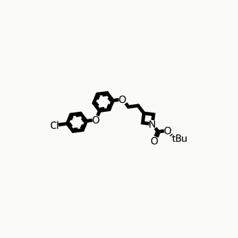 CC(C)(C)OC(=O)N1CC(CCOc2cccc(Oc3ccc(Cl)cc3)c2)C1